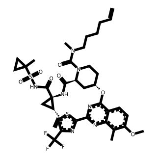 C=CCCCCN(C)C(=O)N1CC[C@H](Oc2nc(-c3nc(C(F)(F)F)cs3)nc3c(C)c(OC)ccc23)C[C@H]1C(=O)N[C@]1(C(=O)NS(=O)(=O)C2(C)CC2)C[C@H]1C=C